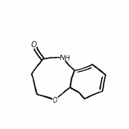 O=C1CCOC2CC=CC=C2N1